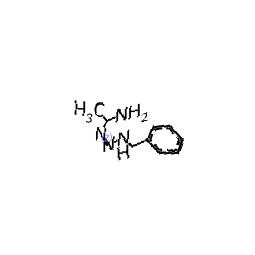 CC(N)/N=N\NCc1ccccc1